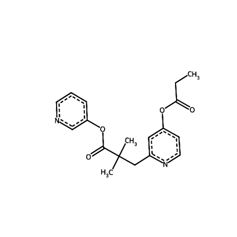 CCC(=O)Oc1ccnc(CC(C)(C)C(=O)Oc2cccnc2)c1